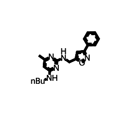 CCCCNc1cc(C)nc(NCc2cc(-c3ccccc3)no2)n1